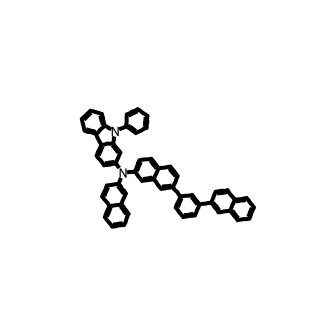 c1ccc(-n2c3ccccc3c3ccc(N(c4ccc5ccccc5c4)c4ccc5ccc(-c6cccc(-c7ccc8ccccc8c7)c6)cc5c4)cc32)cc1